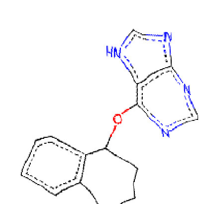 c1ccc2c(c1)CCCC2Oc1ncnc2nc[nH]c12